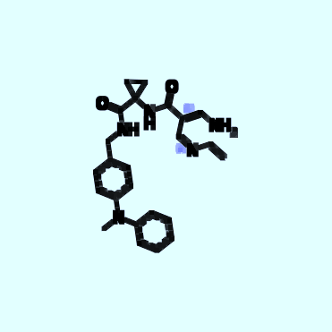 C=C/N=C\C(=C/N)C(=O)NC1(C(=O)NCc2ccc(N(C)c3ccccc3)cc2)CC1